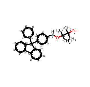 CC(C)(O)C(C)(C)OBc1ccc(C2(c3ccccc3)c3ccccc3-c3ccccc32)cc1